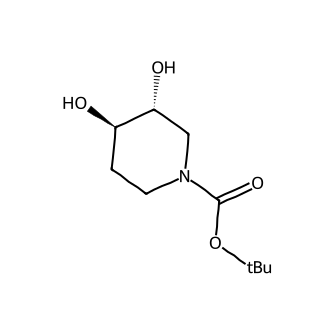 CC(C)(C)OC(=O)N1CC[C@@H](O)[C@H](O)C1